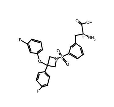 N[C@@H](Cc1cccc(S(=O)(=O)N2CC(Oc3cccc(F)c3)(c3ccc(F)cc3)C2)c1)C(=O)O